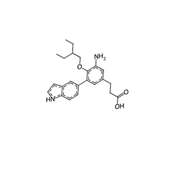 CCC(CC)COc1c(N)cc(CCC(=O)O)cc1-c1ccc2[nH]ccc2c1